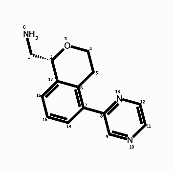 NC[C@@H]1OCCc2c(-c3cnccn3)cccc21